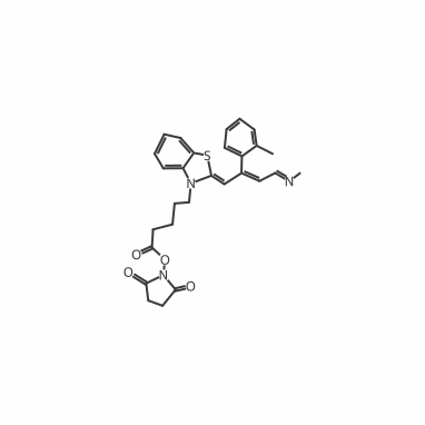 C/N=C/C=C(/C=C1\Sc2ccccc2N1CCCCC(=O)ON1C(=O)CCC1=O)c1ccccc1C